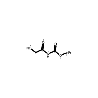 CCCOC(=O)NC(=O)CC#N